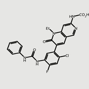 CCn1c(=O)c(-c2cc(NC(=O)Nc3ccccc3)c(F)cc2Cl)cc2cnc(NC(=O)O)cc21